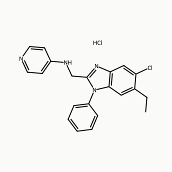 CCc1cc2c(cc1Cl)nc(CNc1ccncc1)n2-c1ccccc1.Cl